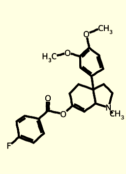 COc1ccc(C23CCC(OC(=O)c4ccc(F)cc4)=CC2N(C)CC3)cc1OC